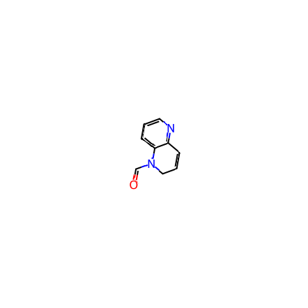 O=CN1CC=Cc2ncccc21